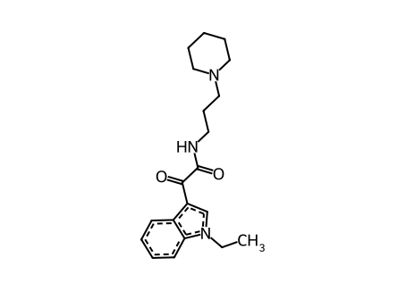 CCn1cc(C(=O)C(=O)NCCCN2CCCCC2)c2ccccc21